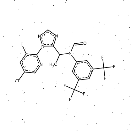 CC(c1ncnn1-c1ncc(Cl)cc1F)N(C=O)c1cc(C(F)(F)F)cc(C(F)(F)F)c1